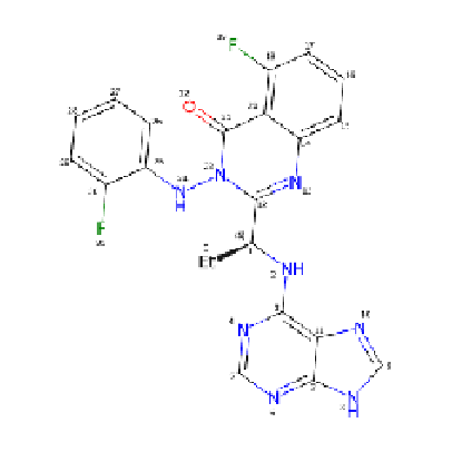 CC[C@H](Nc1ncnc2[nH]cnc12)c1nc2cccc(F)c2c(=O)n1Nc1ccccc1F